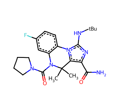 CC(C)(C)Nc1nc(C(N)=O)c2n1-c1ccc(F)cc1N(C(=O)N1CCCC1)C2(C)C